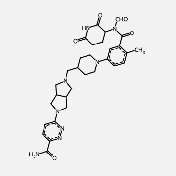 Cc1ccc(N2CCC(CN3CC4CN(c5ccc(C(N)=O)nn5)CC4C3)CC2)cc1C(=O)N(C=O)C1CCC(=O)NC1=O